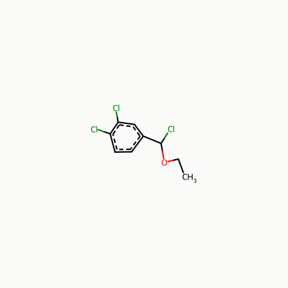 CCOC(Cl)c1ccc(Cl)c(Cl)c1